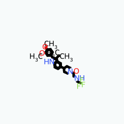 COc1ccc(-c2[nH]c3ccc(C4CCN(C(=O)CNCC(F)(F)F)CC4)cc3c2C(C)C)cc1OC